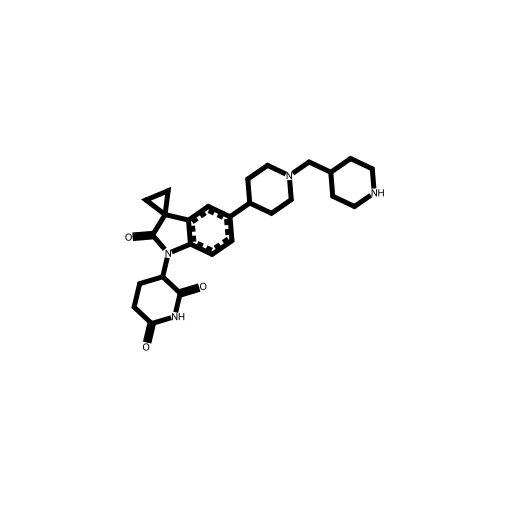 O=C1CCC(N2C(=O)C3(CC3)c3cc(C4CCN(CC5CCNCC5)CC4)ccc32)C(=O)N1